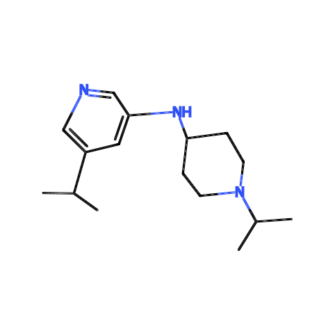 CC(C)c1cncc(NC2CCN(C(C)C)CC2)c1